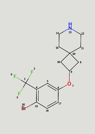 FC(F)(F)c1cc(OC2CC3(CCNCC3)C2)ccc1Br